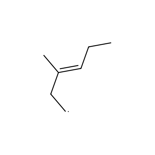 [CH2]CC(C)=CCC